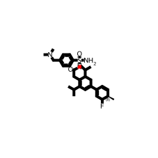 CC(C)C1=C(CC(=O)N=S(N)(=O)c2ccc(CN(C)C)cc2)C(C(C)C)CC(C2=CC(F)[C@H](C)C=C2)=C1